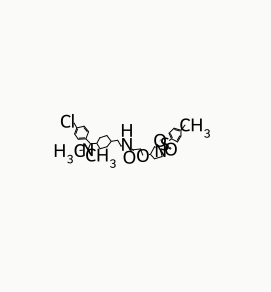 Cc1ccc(S(=O)(=O)N2CCC(OCC(=O)NCCC3CCC(C(c4ccc(Cl)cc4)N(C)C)CC3)C2)cc1